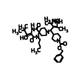 CCCCN1C(=O)[C@@H]([C@H](O)C(C)C)NC(=O)C12CCN(C(c1c(C)n[nH]c1C)C1CCN(C(=O)OCc3ccccc3)CC1)CC2.Cl